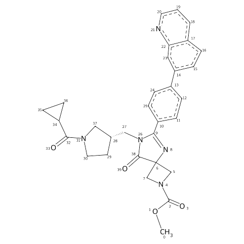 COC(=O)N1CC2(C1)N=C(c1ccc(-c3ccc4cccnc4c3)cc1)N(C[C@@H]1CCN(C(=O)C3CC3)C1)C2=O